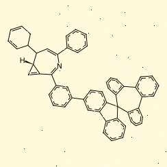 C1=CCC(C2C=C(c3ccccc3)N=C(c3cccc(-c4ccc5c(c4)-c4ccccc4C54c5ccccc5-c5ccccc5-c5ccccc54)c3)C3=C[C@@H]32)C=C1